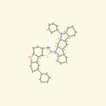 c1ccc(-c2ccc3oc4ccc5c(c4c3c2)SC(n2c3ccccc3c3cc4c6ccccc6n(-c6ccccc6)c4cc32)N5)cc1